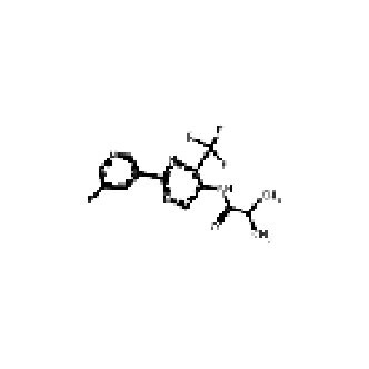 CC(C)C(=O)Nc1cnc(-c2cncc(F)c2)nc1C(F)(F)F